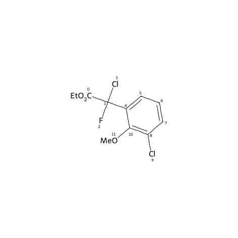 CCOC(=O)C(F)(Cl)c1cccc(Cl)c1OC